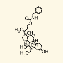 CC[C@@H]1C2C[C@H](O)CC[C@]2(C)[C@H]2CCC3(C)[C@@H]([C@H](C)CCOC(=O)NCc4ccccc4)CC[C@H]3C2[C@@H]1O